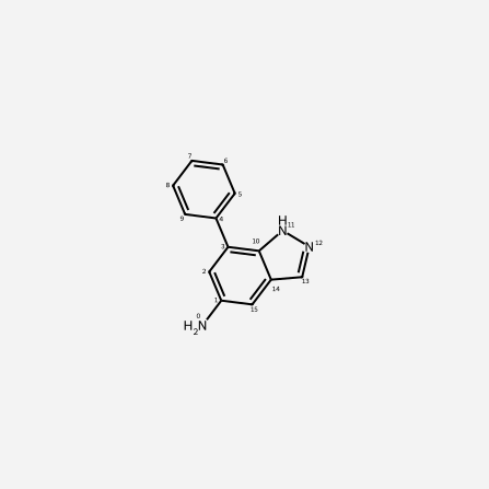 Nc1cc(-c2ccccc2)c2[nH]ncc2c1